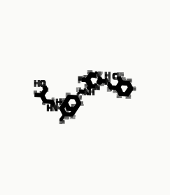 CC(CO)CCN[C@@H]1[C@@H]2CC(C[C@@H](CNc3nc(NCc4ccccc4Cl)ncc3F)C2)C[C@H]1C